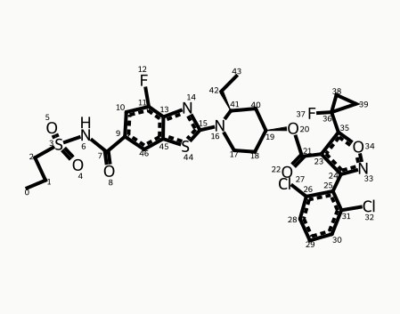 CCCS(=O)(=O)NC(=O)c1cc(F)c2nc(N3CC[C@H](OC(=O)c4c(-c5c(Cl)cccc5Cl)noc4C4(F)CC4)C[C@@H]3CC)sc2c1